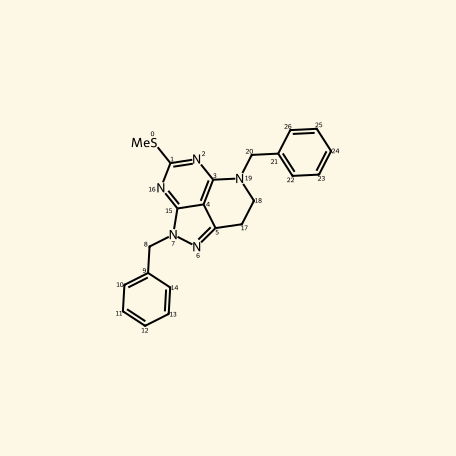 CSc1nc2c3c(nn(Cc4ccccc4)c3n1)CCN2Cc1ccccc1